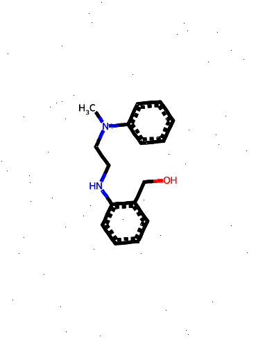 CN(CCNc1ccccc1CO)c1ccccc1